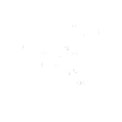 CCOC(=O)C1Cc2ccc(OCc3c(F)cccc3Cl)cc2N(S(=O)(=O)C2CN(CC)N(C3CCCCCCCC3)C2Cl)C1